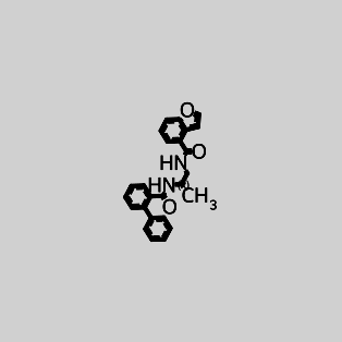 C[C@H](CNC(=O)c1cccc2occc12)NC(=O)c1ccccc1-c1ccccc1